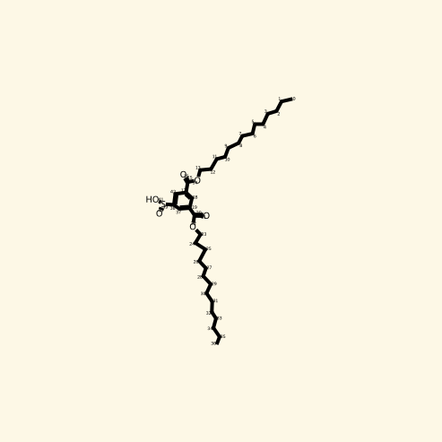 CCCCCCCCCCCCCCOC(=O)c1cc(C(=O)OCCCCCCCCCCCCCC)cc(S(=O)O)c1